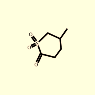 CC1CCC(=O)S(=O)(=O)C1